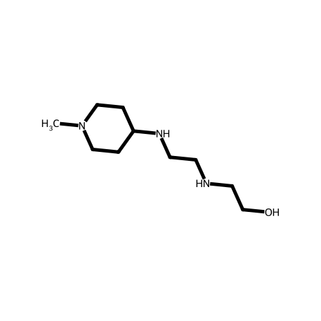 CN1CCC(NCCNCCO)CC1